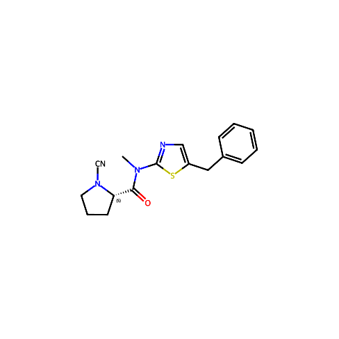 CN(C(=O)[C@@H]1CCCN1C#N)c1ncc(Cc2ccccc2)s1